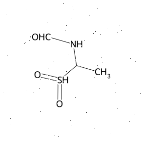 CC(N[C]=O)[SH](=O)=O